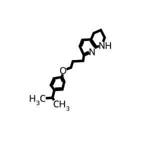 CC(C)c1ccc(OCCCc2ccc3c(n2)NCCC3)cc1